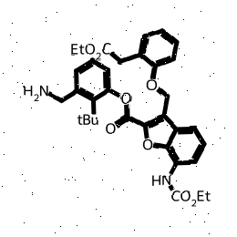 CCOC(=O)Cc1ccccc1OCc1c(C(=O)Oc2cccc(CN)c2C(C)(C)C)oc2c(NC(=O)OCC)cccc12